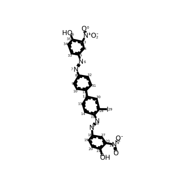 O=[N+]([O-])c1cc(/N=N/c2ccc(-c3ccc(/N=N/c4ccc(O)c([N+](=O)[O-])c4)c(I)c3)cc2)ccc1O